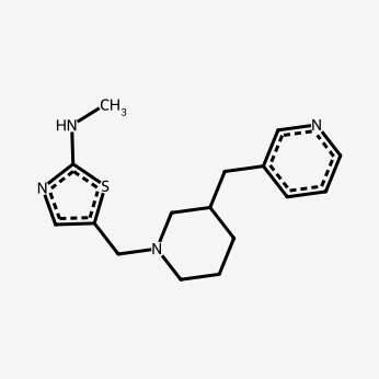 CNc1ncc(CN2CCCC(Cc3cccnc3)C2)s1